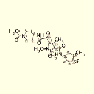 CC(=O)N1CCC(NC(=O)C(=O)c2c(C)c(C(=O)Nc3ccc(F)c(C)c3)c(C)n2C)CC1